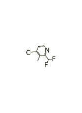 Cc1c(Cl)ccnc1C(F)F